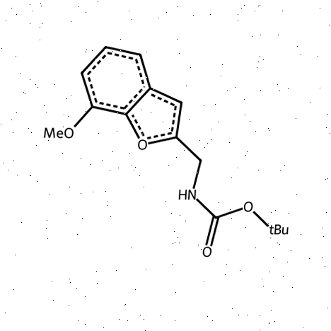 COc1cccc2cc(CNC(=O)OC(C)(C)C)oc12